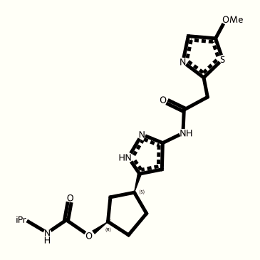 COc1cnc(CC(=O)Nc2cc([C@H]3CC[C@@H](OC(=O)NC(C)C)C3)[nH]n2)s1